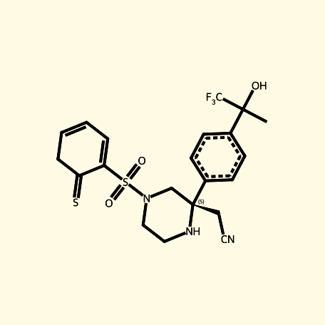 CC(O)(c1ccc([C@@]2(CC#N)CN(S(=O)(=O)C3=CC=CCC3=S)CCN2)cc1)C(F)(F)F